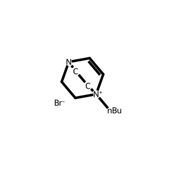 CCCC[N+]12C=CN(CC1)CC2.[Br-]